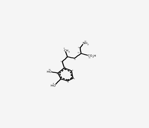 CC(Cc1cccc(O)c1O)CC(CN)C(=O)O